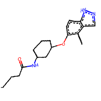 CCCC(=O)NC1CCCC(Oc2ccc3[nH]ncc3c2C)C1